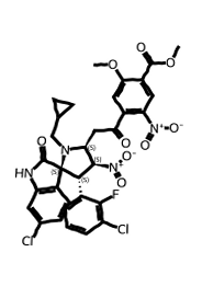 COC(=O)c1cc([N+](=O)[O-])c(C(=O)C[C@H]2[C@@H]([N+](=O)[O-])[C@H](c3cccc(Cl)c3F)[C@]3(C(=O)Nc4cc(Cl)ccc43)N2CC2CC2)cc1OC